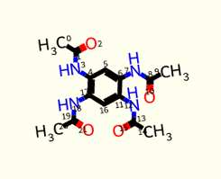 CC(=O)Nc1cc(NC(C)=O)c(NC(C)=O)cc1NC(C)=O